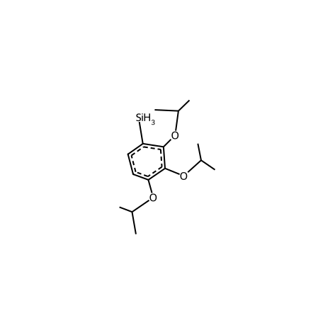 CC(C)Oc1ccc([SiH3])c(OC(C)C)c1OC(C)C